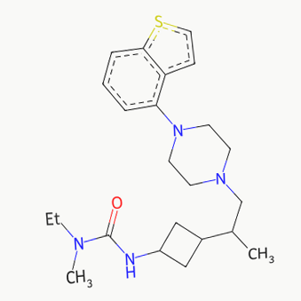 CCN(C)C(=O)NC1CC(C(C)CN2CCN(c3cccc4sccc34)CC2)C1